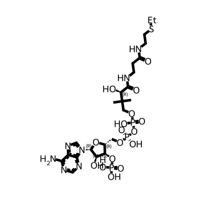 CCSCCNC(=O)CCNC(=O)[C@H](O)C(C)(C)COP(=O)(O)OP(=O)(O)OC[C@H]1O[C@@H](n2cnc3c(N)ncnc32)[C@H](O)[C@@H]1OP(=O)(O)O